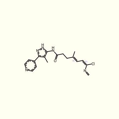 C=N/C(Cl)=C\C=C(/C)CCC(=O)Nc1[nH]nc(-c2ccncc2)c1C